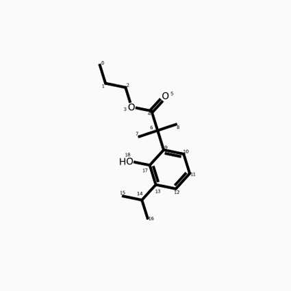 CCCOC(=O)C(C)(C)c1cccc(C(C)C)c1O